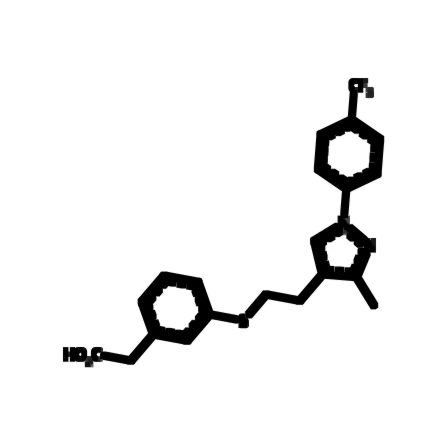 Cc1nn(-c2ccc(C(F)(F)F)cc2)cc1CCSc1cccc(CC(=O)O)c1